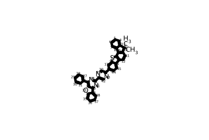 CC1(C)c2ccccc2-c2c1ccc1c2sc2cc(-c3cnc(-c4nc(-c5ccccc5)c5oc6ccccc6c5n4)cn3)ccc21